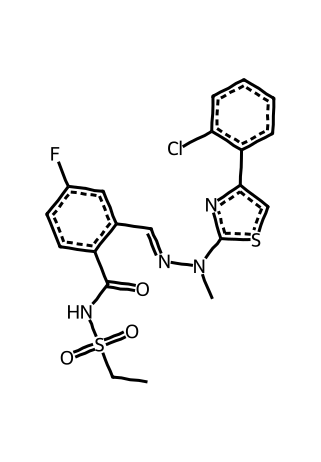 CCS(=O)(=O)NC(=O)c1ccc(F)cc1C=NN(C)c1nc(-c2ccccc2Cl)cs1